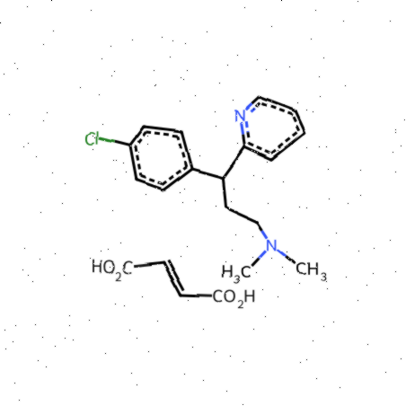 CN(C)CCC(c1ccc(Cl)cc1)c1ccccn1.O=C(O)/C=C/C(=O)O